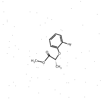 COC(=O)[C@@H](C)Oc1ccccc1[18F]